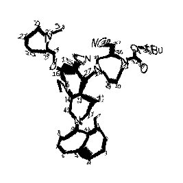 Cc1cccc2cccc(N3CCc4c(nc(OCC5CCCN5C)c(C#N)c4N4CCN(C(=O)OC(C)(C)C)C(CC#N)C4)C3)c12